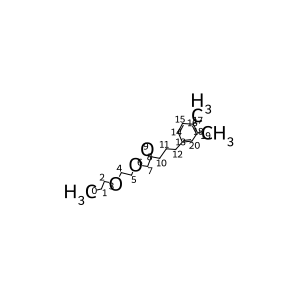 CCCOCCOCC(=O)CCCc1ccc(C)c(C)c1